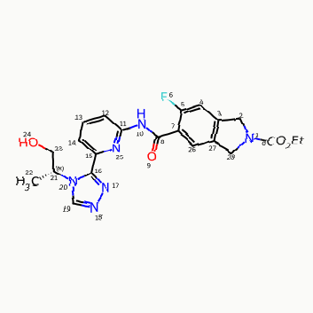 CCOC(=O)N1Cc2cc(F)c(C(=O)Nc3cccc(-c4nncn4[C@H](C)CO)n3)cc2C1